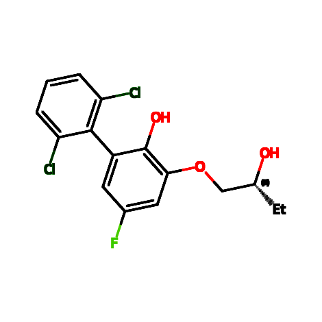 CC[C@@H](O)COc1cc(F)cc(-c2c(Cl)cccc2Cl)c1O